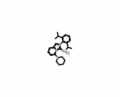 CC(C)c1cccc(C(C)C)c1-n1cc2cccc(N3CCCCC3)n2[c]1=[Au][Cl]